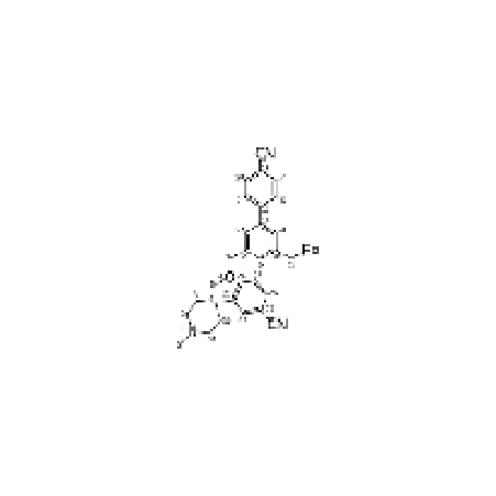 CN1CCC(COCc2cc(CF)cc(-c3ccc(C#N)cc3)c2)(c2cccc(C#N)c2)CC1